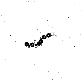 O=C(NC1CCN(C(I)c2ccccc2)CC1)c1cnc2ccc(OC3CCN(c4ccc(C(F)(F)F)cc4)CC3)cc2c1